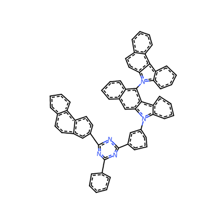 c1ccc(-c2nc(-c3cccc(-n4c5ccccc5c5c(-n6c7ccccc7c7c8ccccc8ccc76)c6ccccc6cc54)c3)nc(-c3ccc4c(ccc5ccccc54)c3)n2)cc1